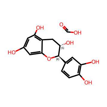 O=CO.Oc1cc(O)c2c(c1)O[C@H](c1ccc(O)c(O)c1)[C@@H](O)C2